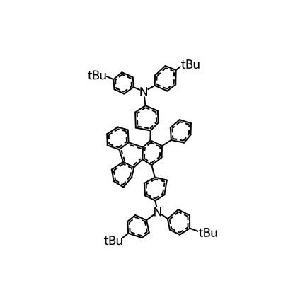 CC(C)(C)c1ccc(N(c2ccc(-c3cc(-c4ccccc4)c(-c4ccc(N(c5ccc(C(C)(C)C)cc5)c5ccc(C(C)(C)C)cc5)cc4)c4c5ccccc5c5ccccc5c34)cc2)c2ccc(C(C)(C)C)cc2)cc1